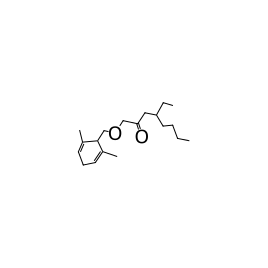 CCCCC(CC)CC(=O)COCC1C(C)=CCC=C1C